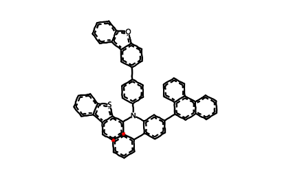 c1ccc(-c2ccc(-c3cc4ccccc4c4ccccc34)cc2N(c2ccc(-c3ccc4oc5ccccc5c4c3)cc2)c2cccc3c2sc2ccccc23)cc1